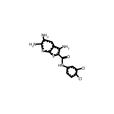 Nc1cc2c(N)c(C(=O)Nc3ccc(Cl)c(Cl)c3)sc2nc1N